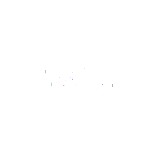 CN(C)CC1COC2(CCN(C(=O)OC(C)(C)C)CC2)N1